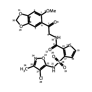 COc1cc2c(cc1C(=O)CNC(=O)c1sccc1S(=O)(=O)Nc1onc(C)c1Cl)OCO2